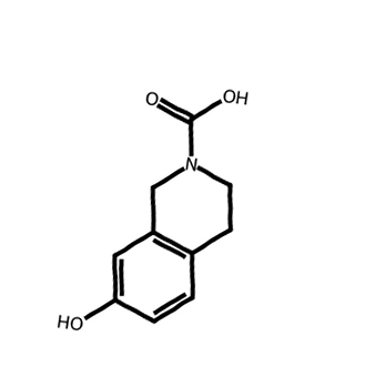 O=C(O)N1CCc2ccc(O)cc2C1